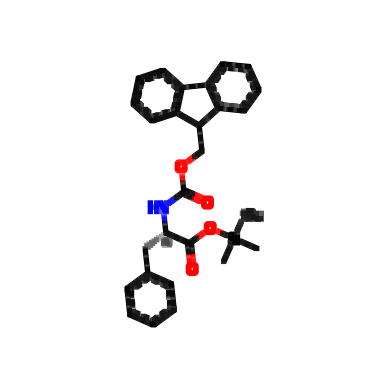 CC(C)(C)[Si](C)(C)OC(=O)[C@H](Cc1ccccc1)NC(=O)OCC1c2ccccc2-c2ccccc21